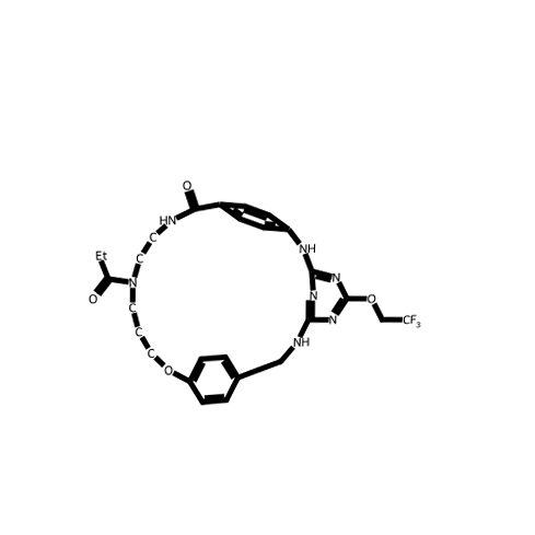 CCC(=O)N1CCCOc2ccc(cc2)CNc2nc(nc(OCC(F)(F)F)n2)Nc2ccc(cc2)C(=O)NCC1